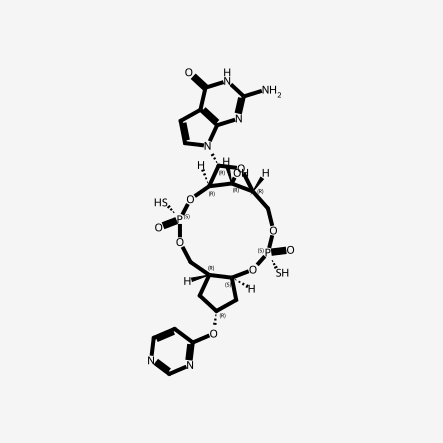 Nc1nc2c(ccn2[C@@H]2O[C@@H]3CO[P@](=O)(S)O[C@H]4C[C@H](Oc5ccncn5)C[C@@H]4CO[P@](=O)(S)O[C@@H]2[C@@H]3O)c(=O)[nH]1